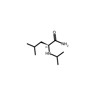 CC(C)C[C@H](NC(C)C)C(N)=O